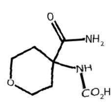 NC(=O)C1(NC(=O)O)CCOCC1